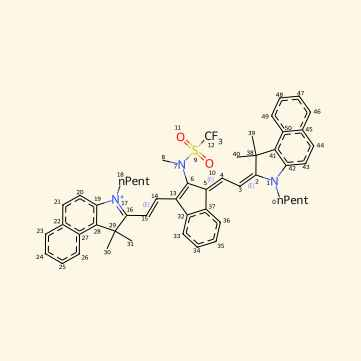 CCCCCN1/C(=C/C=C2C(N(C)S(=O)(=O)C(F)(F)F)=C(/C=C/C3=[N+](CCCCC)c4ccc5ccccc5c4C3(C)C)c3ccccc3/2)C(C)(C)c2c1ccc1ccccc21